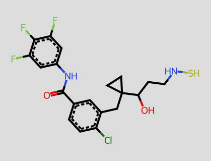 O=C(Nc1cc(F)c(F)c(F)c1)c1ccc(Cl)c(CC2(C(O)CCNS)CC2)c1